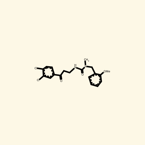 COc1ccccc1CN(C)C(=O)NCCC(=O)c1ccc(Cl)c(Cl)c1